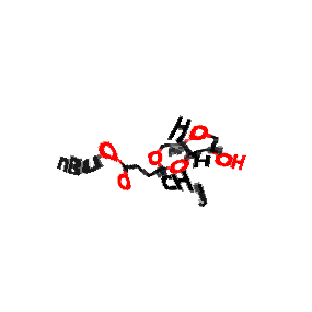 CCCCOC(=O)CC[C@@]1(C)OC[C@@H]2OC[C@@H](O)[C@@H]2O1